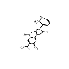 C=C(O)C1=CN2C(=CC1=C)c1cc(CC)c(-c3cccnc3C)cc1CC2C(C)(C)C